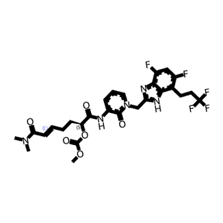 COC(=O)O[C@@H](CC/C=C/C(=O)N(C)C)C(=O)Nc1cccn(Cc2nc3c(F)cc(F)c(CCC(F)(F)F)c3[nH]2)c1=O